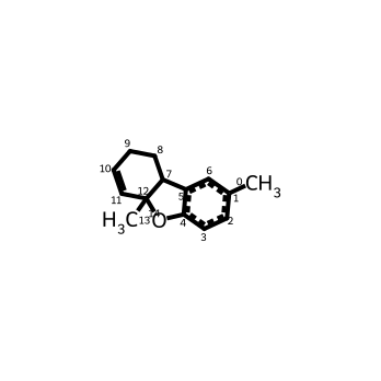 Cc1ccc2c(c1)C1CCC=CC1(C)O2